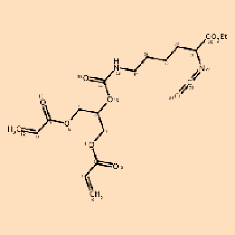 C=CC(=O)OCC(COC(=O)C=C)OC(=O)NCCCCC(N=C=O)C(=O)OCC